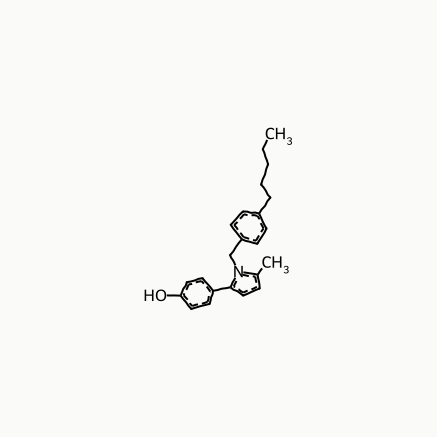 CCCCCc1ccc(Cn2c(C)ccc2-c2ccc(O)cc2)cc1